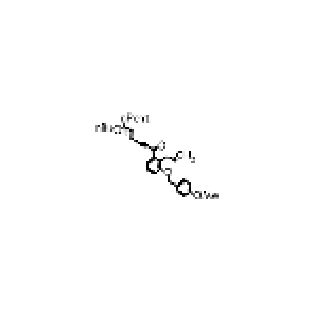 C=CCc1c(OCc2ccc(OC)cc2)cccc1C(=O)C#CCC[C@H](CCCCC)OCCCC